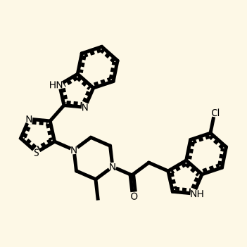 CC1CN(c2scnc2-c2nc3ccccc3[nH]2)CCN1C(=O)Cc1c[nH]c2ccc(Cl)cc12